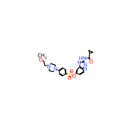 COCCN1CCN(c2ccc(S(=O)(=O)Oc3ccc4[nH]c(NC(=O)C5CC5)nc4c3)cc2)CC1